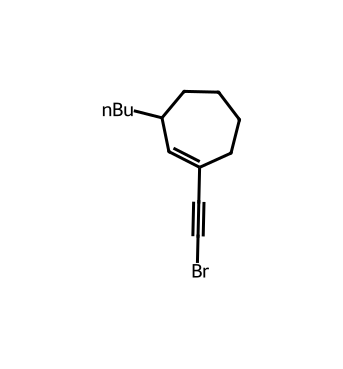 CCCCC1C=C(C#CBr)CCCC1